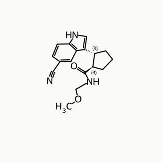 COCNC(=O)[C@@H]1CCC[C@H]1c1c[nH]c2ccc(C#N)cc12